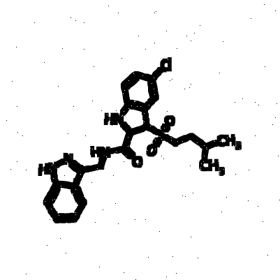 CC(C)CCS(=O)(=O)C1c2cc(Cl)ccc2NC1C(=O)NCc1n[nH]c2ccccc12